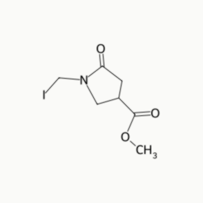 COC(=O)C1CC(=O)N(CI)C1